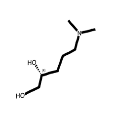 CN(C)CCC[C@@H](O)CO